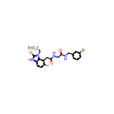 CCOC(=O)Cn1c(=O)[nH]c2ccc(F)c(CC(=O)NCC(=O)NCc3cccc(Br)c3)c21